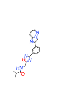 CC(C)C(=O)NCc1nc(-c2cccc(-c3cn4ncccc4n3)c2)no1